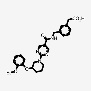 CCOc1ccccc1OC1CCCN(c2ncc(C(=O)NCc3cccc(CC(=O)O)c3)cn2)C1